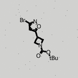 CC(C)(C)OC(=O)N1CC(c2cc(Br)no2)C1